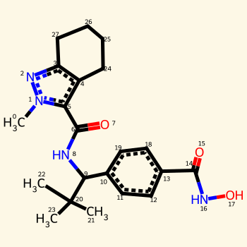 Cn1nc2c(c1C(=O)NC(c1ccc(C(=O)NO)cc1)C(C)(C)C)CCCC2